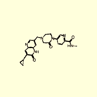 CNC(=O)c1ccc(N2CCN(Cc3cnc4cc(C5CC5)c(=O)[nH]c4c3)CC2=O)cn1